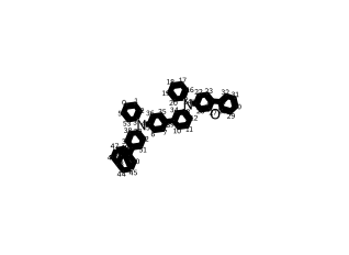 c1ccc(N(c2ccc(-c3cccc(N(c4ccccc4)c4ccc5c(c4)oc4ccccc45)c3)cc2)c2ccc(C34CC5CC(CC(C5)C3)C4)cc2)cc1